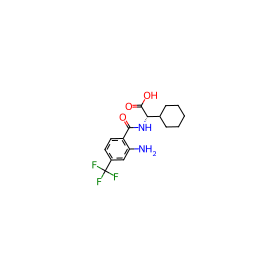 Nc1cc(C(F)(F)F)ccc1C(=O)N[C@H](C(=O)O)C1CCCCC1